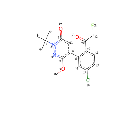 COc1nn(C(C)(C)C)c(=O)cc1-c1cc(Cl)ccc1C(=O)CF